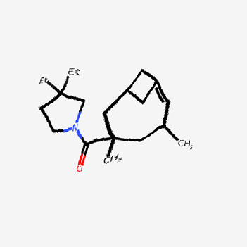 CCC1(CC)CCN(C(=O)C2(C)CC(C)C=C3CC(C3)C2)C1